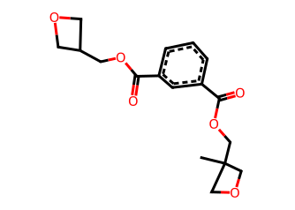 CC1(COC(=O)c2cccc(C(=O)OCC3COC3)c2)COC1